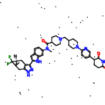 CN(C(=O)C1CCN(CC2CCN(c3ccc(C4CCC(=O)NC4=O)cn3)CC2)CC1)c1ccc2cc(-c3n[nH]c4c3C[C@@H]3C(F)(F)C3(C)C4)[nH]c2c1